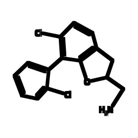 NCC1Cc2ccc(Cl)c(-c3ccccc3Cl)c2O1